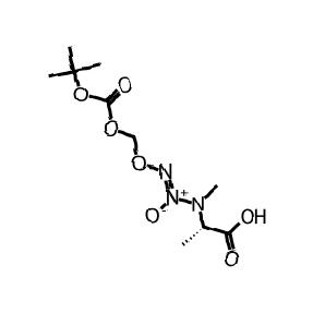 C[C@@H](C(=O)O)N(C)[N+]([O-])=NOCOC(=O)OC(C)(C)C